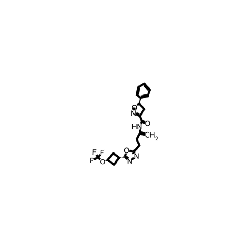 C=C(CCc1nnc([C@H]2C[C@@H](OC(F)(F)F)C2)o1)NC(=O)C1=NO[C@@H](c2ccccc2)C1